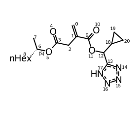 C=C(CC(=O)O[C@@H](C)CCCCCC)C(=O)OC(c1nnn[nH]1)C1CC1